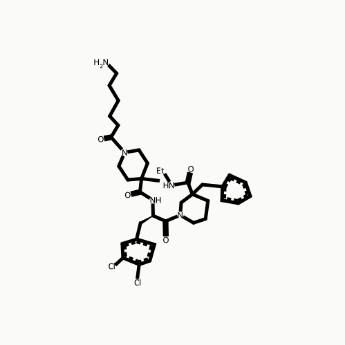 CCNC(=O)C1(Cc2ccccc2)CCCN(C(=O)[C@@H](Cc2ccc(Cl)c(Cl)c2)NC(=O)C2(C)CCN(C(=O)CCCCCN)CC2)C1